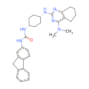 CN(C)c1nc(N[C@H]2CC[C@@H](NC(=O)Nc3ccc4c(c3)Cc3ccccc3-4)CC2)nc2c1CCCC2